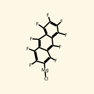 Fc1c(F)c(F)c2c(F)c3c(F)[c]([Mg][Cl])c(F)c(F)c3c(F)c2c1F